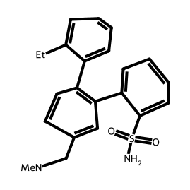 CCc1ccccc1-c1ccc(CNC)cc1-c1ccccc1S(N)(=O)=O